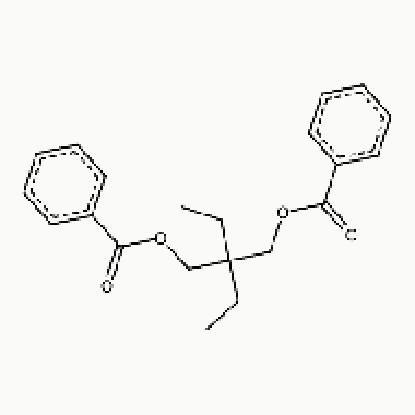 CCC(CC)(COC(=O)c1ccccc1)COC(=O)c1ccccc1